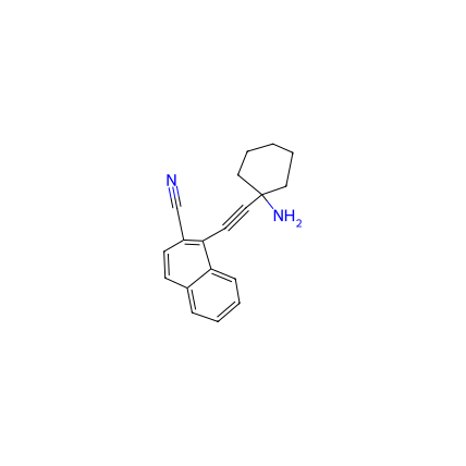 N#Cc1ccc2ccccc2c1C#CC1(N)CCCCC1